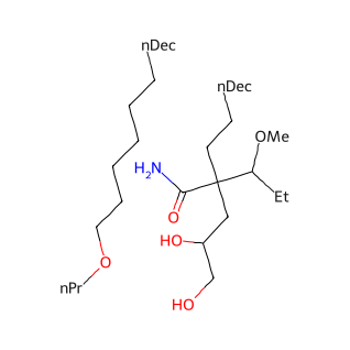 CCCCCCCCCCCCC(CC(O)CO)(C(N)=O)C(CC)OC.CCCCCCCCCCCCCCCCOCCC